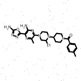 CCC1CN(c2nc(N)c(-c3nnc(N)o3)nc2C)CCN1C1CCN(C(=O)c2ccc(C)cc2)CC1